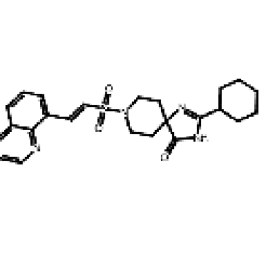 O=C1NC(C2CCCCC2)=NC12CCN(S(=O)(=O)C=Cc1cccc3cccnc13)CC2